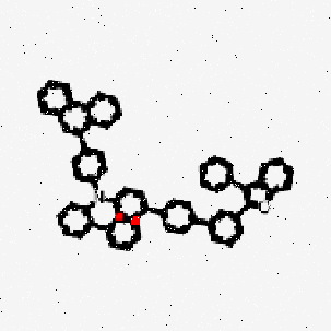 c1ccc(-c2ccccc2N(c2ccc(-c3ccc(-c4cccc(-c5oc6ccccc6c5-c5ccccc5)c4)cc3)cc2)c2ccc(-c3cc4ccccc4c4ccccc34)cc2)cc1